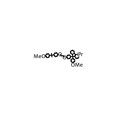 C/C=C\C1=C(C(C)C)C2C=CC=CC2C1(c1ccc(OC)cc1)c1ccc(OCCOc2ccc(C(C)(C)c3ccc(OC)cc3)cc2)cc1